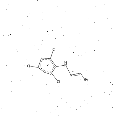 CC(C)C=NNc1c(Cl)cc(Cl)cc1Cl